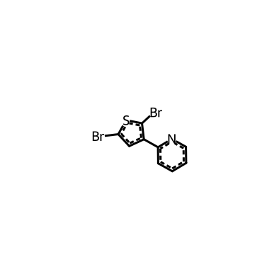 Brc1cc(-c2ccccn2)c(Br)s1